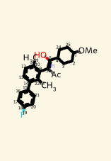 COC1CCC(/C(O)=C(\C(C)=O)c2c(C)ccc(-c3ccc(F)cc3)c2C)CC1